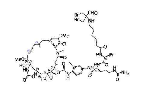 COc1cc2cc(c1Cl)N(C)C(=O)C[C@H](OC(=O)Nc1ccc(NC(=O)[C@H](CCCNC(N)=O)NC(=O)[C@@H](NC(=O)CCCCCNC(C=O)(CBr)CBr)C(C)C)cc1C)[C@]1(C)O[C@H]1[C@H](C)[C@@H]1C[C@@](O)(NC(=O)O1)[C@H](OC)/C=C/C=C(\C)C2